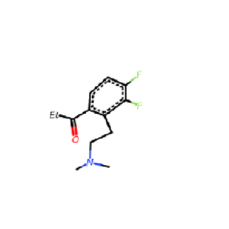 CCC(=O)c1ccc(F)c(F)c1CCN(C)C